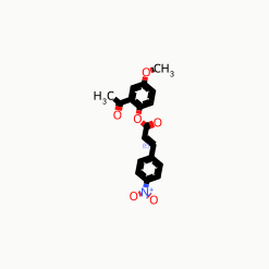 COc1ccc(OC(=O)/C=C/c2ccc([N+](=O)[O-])cc2)c(C(C)=O)c1